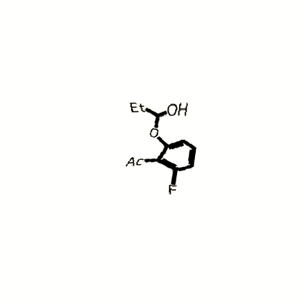 CCC(O)Oc1cccc(F)c1C(C)=O